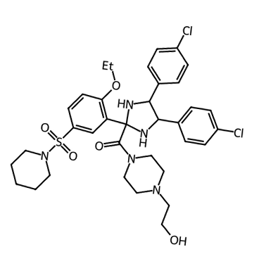 CCOc1ccc(S(=O)(=O)N2CCCCC2)cc1C1(C(=O)N2CCN(CCO)CC2)NC(c2ccc(Cl)cc2)C(c2ccc(Cl)cc2)N1